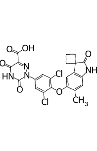 Cc1cc2c(cc1Oc1c(Cl)cc(-n3nc(C(=O)O)c(=O)[nH]c3=O)cc1Cl)C1(CCC1)C(=O)N2